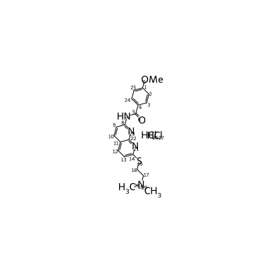 COc1ccc(C(=O)Nc2ccc3ccc(SCCN(C)C)nc3n2)cc1.Cl.Cl